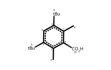 Cc1c(C(C)(C)C)cc(C(C)(C)C)c(C)c1C(=O)O